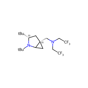 CC(C)(C)[C@@H]1C[C@@]2(CN(CC(F)(F)F)CC(F)(F)F)CC2N1C(C)(C)C